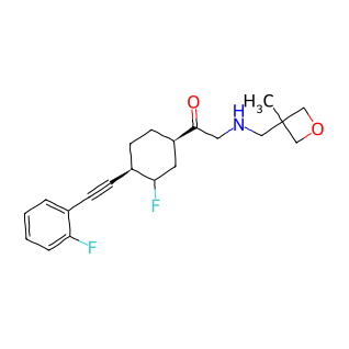 CC1(CNCC(=O)[C@@H]2CC[C@H](C#Cc3ccccc3F)C(F)C2)COC1